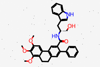 COc1cc2c(c(OC)c1OC)CCc1cc(-c3ccccc3)c(C(=O)N[C@@H](CO)Cc3c[nH]c4ccccc34)cc1-2